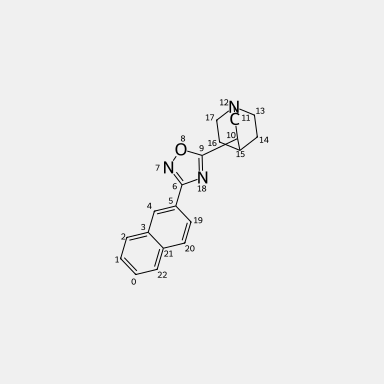 c1ccc2cc(-c3noc(C4CN5CCC4CC5)n3)ccc2c1